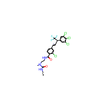 CCNC(=O)N(C)CCNC(=O)c1ccc(/C=C/C(c2cc(Cl)c(Cl)c(Cl)c2)C(F)(F)F)cc1Cl